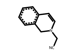 N#CCN1C=Cc2ccccc2C1